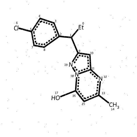 CCC(c1ccc(Cl)cc1)c1cc2nc(C)cc(O)n2n1